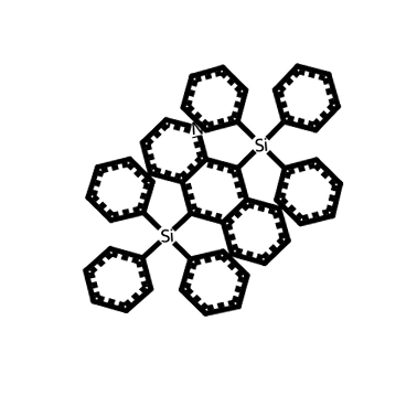 c1ccc([Si](c2ccccc2)(c2ccccc2)c2c3ccccc3c([Si](c3ccccc3)(c3ccccc3)c3ccccc3)c3ncccc23)cc1